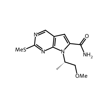 COC[C@H](C)n1c(C(N)=O)cc2cnc(SC)nc21